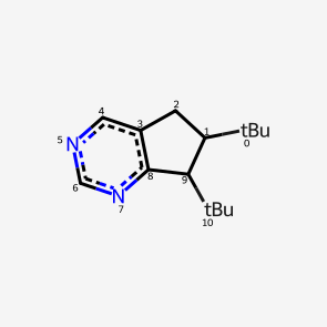 CC(C)(C)C1Cc2cncnc2C1C(C)(C)C